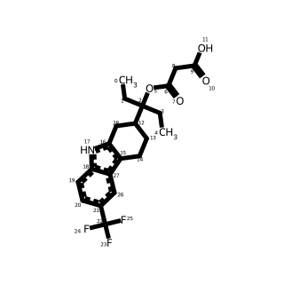 CCC(CC)(OC(=O)CC(=O)O)C1CCc2c([nH]c3ccc(C(F)(F)F)cc23)C1